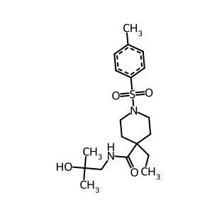 CCC1(C(=O)NCC(C)(C)O)CCN(S(=O)(=O)c2ccc(C)cc2)CC1